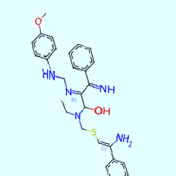 CCN(CS/C=C(\N)c1ccccc1)C(O)/C(=N/CNc1ccc(OC)cc1)C(=N)c1ccccc1